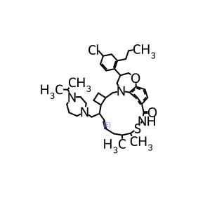 CCCC1=C(C2COc3ccc4cc3N(C2)CC2CCC2C(CN2CCCN(C(C)C)CC2)/C=C/CC(C)C(C)SNC4=O)C=CC(Cl)C1